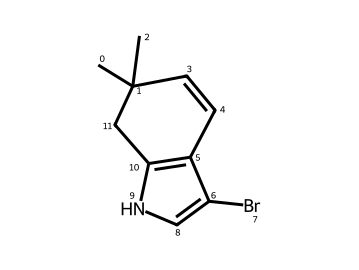 CC1(C)C=Cc2c(Br)c[nH]c2C1